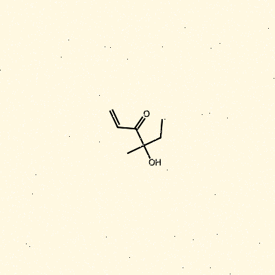 [CH2]CC(C)(O)C(=O)C=C